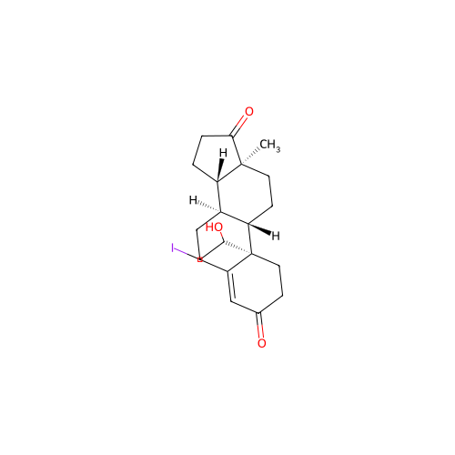 C[C@]12CC[C@H]3[C@@H](CCC4=CC(=O)CC[C@@]43C(O)CI)[C@@H]1CCC2=O